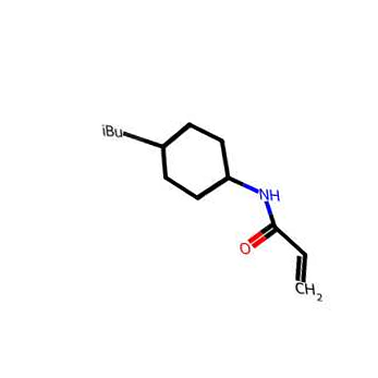 C=CC(=O)NC1CCC(C(C)CC)CC1